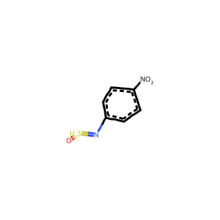 O=[SH2]=Nc1ccc([N+](=O)[O-])cc1